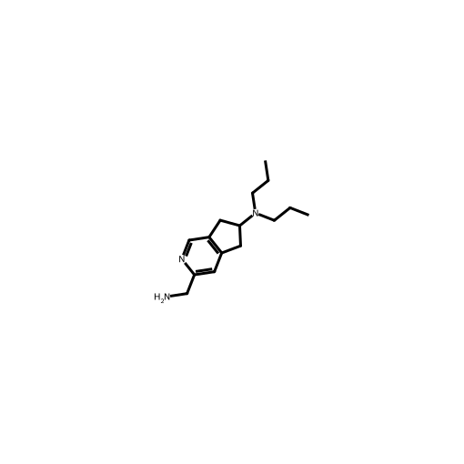 CCCN(CCC)C1Cc2cnc(CN)cc2C1